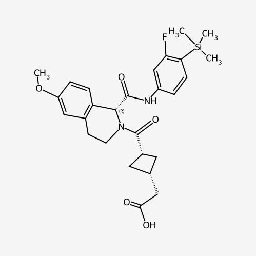 COc1ccc2c(c1)CCN(C(=O)[C@H]1C[C@@H](CC(=O)O)C1)[C@H]2C(=O)Nc1ccc([Si](C)(C)C)c(F)c1